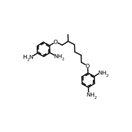 CC(CCCCOc1ccc(N)cc1N)COc1ccc(N)cc1N